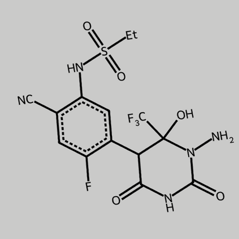 CCS(=O)(=O)Nc1cc(C2C(=O)NC(=O)N(N)C2(O)C(F)(F)F)c(F)cc1C#N